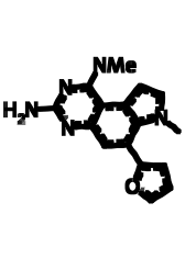 CNc1nc(N)nc2cc(-c3ccco3)c3c(ccn3C)c12